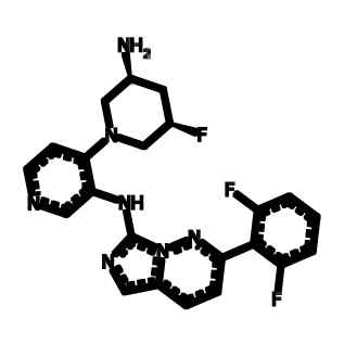 N[C@H]1C[C@@H](F)CN(c2ccncc2Nc2ncc3ccc(-c4c(F)cccc4F)nn23)C1